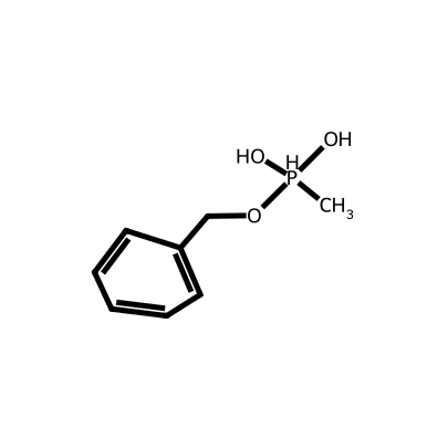 C[PH](O)(O)OCc1ccccc1